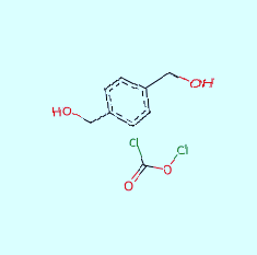 O=C(Cl)OCl.OCc1ccc(CO)cc1